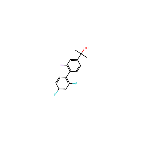 CC(C)(O)c1ccc(-c2ccc(F)cc2F)c(I)c1